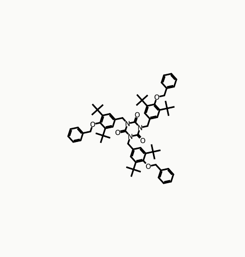 CC(C)(C)c1cc(Cn2c(=O)n(Cc3cc(C(C)(C)C)c(OCc4ccccc4)c(C(C)(C)C)c3)c(=O)n(Cc3cc(C(C)(C)C)c(OCc4ccccc4)c(C(C)(C)C)c3)c2=O)cc(C(C)(C)C)c1OCc1ccccc1